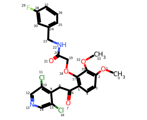 COc1ccc(C(=O)Cc2c(Cl)cncc2Cl)c(OCC(=O)NCc2cccc(F)c2)c1OC